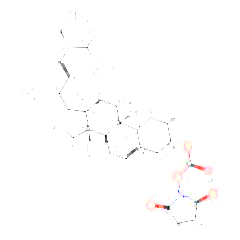 CC[C@H](/C=C/[C@@H](C)[C@H]1CC[C@H]2C3CC=C4C[C@@H](OC(=O)ON5C(=O)CCC5=O)CC[C@]4(C)[C@H]3CC[C@]12C)C(C)C